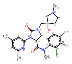 Cc1cc(C(F)(F)F)cc(N2C(=O)N(CC3(O)CCN(C)C3)C[C@H]2C(=O)N(C)c2ccc(F)c(Cl)c2F)n1